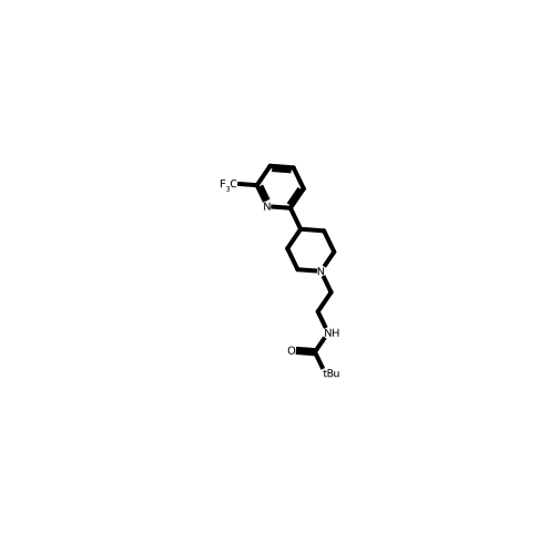 CC(C)(C)C(=O)NCCN1CCC(c2cccc(C(F)(F)F)n2)CC1